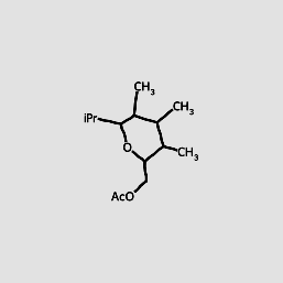 CC(=O)OCC1OC(C(C)C)C(C)C(C)C1C